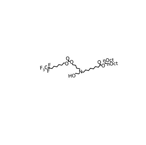 CCCCCCCCC(CCCCCCCC)OC(=O)CCCCCCCN(CCO)CCCCOC(=O)OCCCCCCC(F)(F)C(F)(F)F